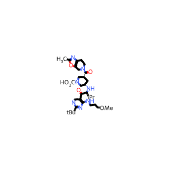 COCCCNc1nc(C(C)(C)C)ncc1C(=O)C(N[C@H]1C[C@@H](C(=O)N2CCc3nc(C)oc3C2)CN(C(=O)O)C1)C(C)C